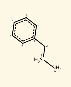 [SiH3][SiH2]Cc1ccccc1